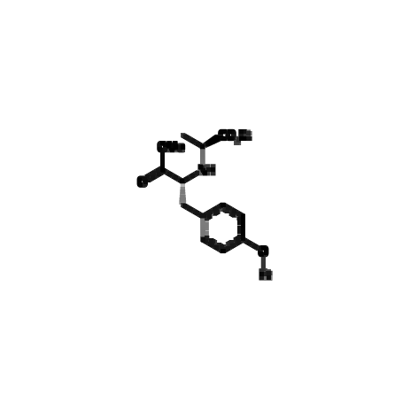 CCOC(=O)[C@H](C)N[C@H](Cc1ccc(OCC)cc1)C(=O)OC